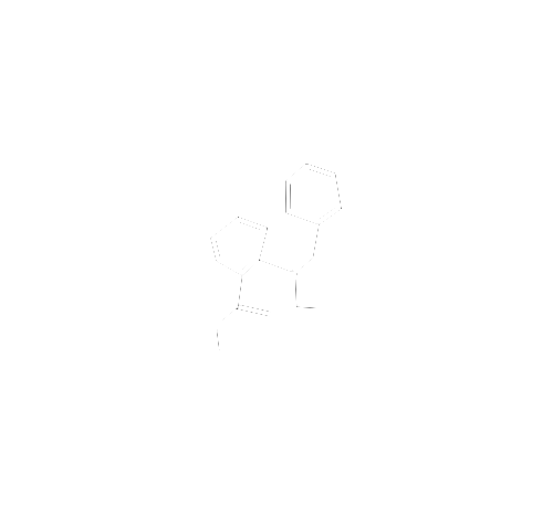 CCN(Cc1ccccc1)c1[c]cccc1C(=O)OC